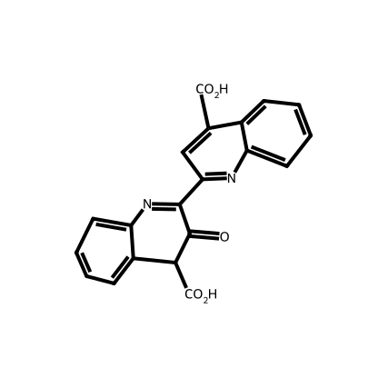 O=C(O)c1cc(C2=Nc3ccccc3C(C(=O)O)C2=O)nc2ccccc12